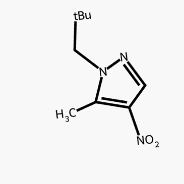 Cc1c([N+](=O)[O-])cnn1CC(C)(C)C